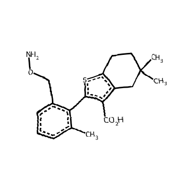 Cc1cccc(CON)c1-c1sc2c(c1C(=O)O)CC(C)(C)CC2